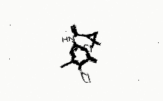 C=C(Nc1cc(C)c(Cl)c(C)c1)C1CC1(C)Cl